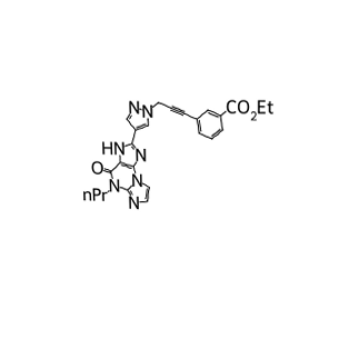 CCCn1c(=O)c2[nH]c(-c3cnn(CC#Cc4cccc(C(=O)OCC)c4)c3)nc2n2ccnc12